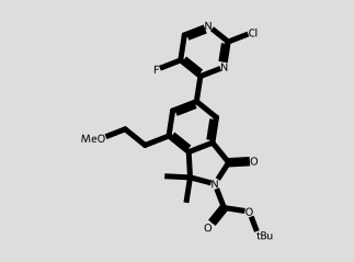 COCCc1cc(-c2nc(Cl)ncc2F)cc2c1C(C)(C)N(C(=O)OC(C)(C)C)C2=O